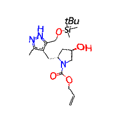 C=CCOC(=O)N1C[C@H](O)C[C@H]1Cc1c(C)n[nH]c1CO[Si](C)(C)C(C)(C)C